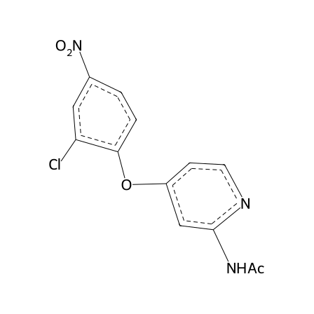 CC(=O)Nc1cc(Oc2ccc([N+](=O)[O-])cc2Cl)ccn1